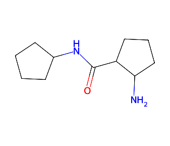 NC1CCCC1C(=O)NC1CCCC1